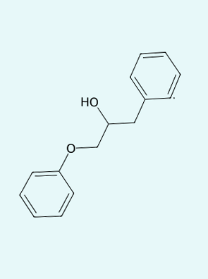 OC(COc1ccccc1)Cc1[c]cccc1